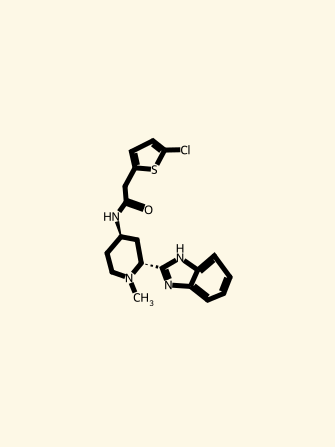 CN1CC[C@@H](NC(=O)Cc2ccc(Cl)s2)C[C@@H]1c1nc2ccccc2[nH]1